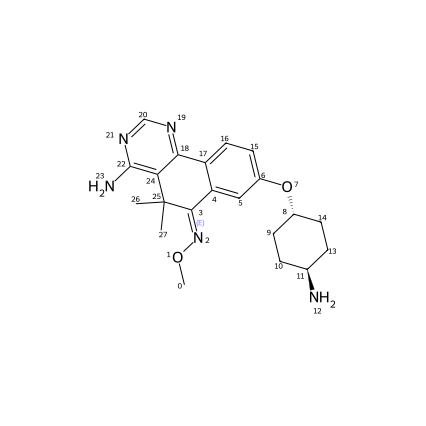 CO/N=C1/c2cc(O[C@H]3CC[C@H](N)CC3)ccc2-c2ncnc(N)c2C1(C)C